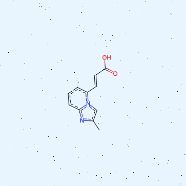 Cc1cn2c(C=CC(=O)O)cccc2n1